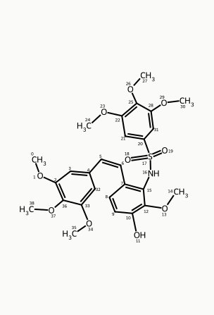 COc1cc(/C=C\c2ccc(O)c(OC)c2NS(=O)(=O)c2cc(OC)c(OC)c(OC)c2)cc(OC)c1OC